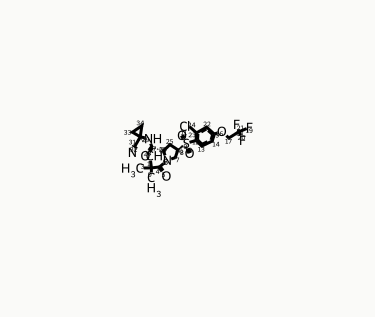 CC(C)(C)C(=O)N1C[C@H](S(=O)(=O)c2ccc(OCC(F)(F)F)cc2Cl)C[C@H]1C(=O)NC1(C#N)CC1